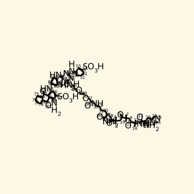 CC(C)(CC(=O)C(C)(C)CC(=O)C(C)(C)NC(=O)[C@@H](N)Cc1cnc[nH]1)C(=O)C[C@@H](CCCCNC(=O)COCCOCCNc1nc(Nc2cccc(S(=O)(=O)O)c2)nc(Nc2ccc(Nc3cc(S(=O)(=O)O)c(N)c4c3C(=O)c3ccccc3C4=O)cc2S(=O)(=O)O)n1)C(N)=O